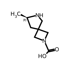 C[C@@H]1CC2(CN1)CN(C(=O)O)C2